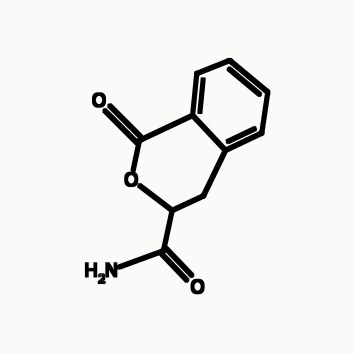 NC(=O)C1Cc2ccccc2C(=O)O1